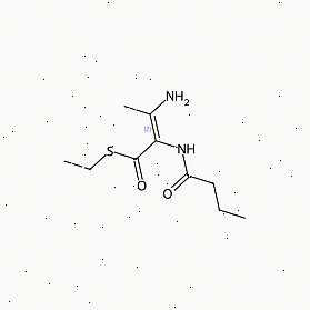 CCCC(=O)N/C(C(=O)SCC)=C(/C)N